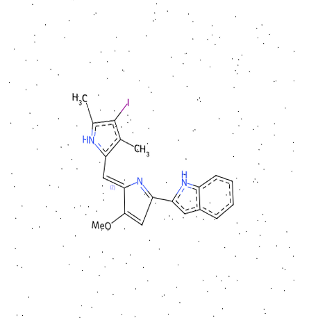 COC1=CC(c2cc3ccccc3[nH]2)=N/C1=C\c1[nH]c(C)c(I)c1C